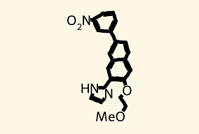 COCCOc1cc2ccc(-c3cccc([N+](=O)[O-])c3)cc2cc1-c1ncc[nH]1